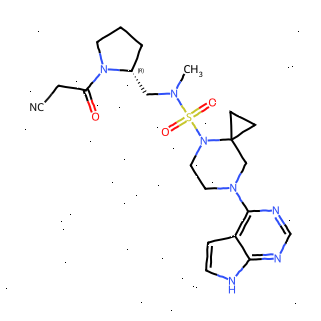 CN(C[C@H]1CCCN1C(=O)CC#N)S(=O)(=O)N1CCN(c2ncnc3[nH]ccc23)CC12CC2